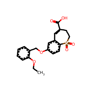 CCOc1ccccc1COc1ccc2c(c1)C=C(C(=O)O)CCS2(=O)=O